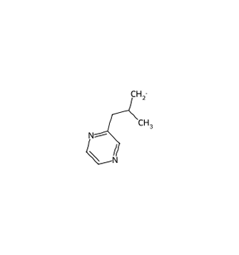 [CH2]C(C)Cc1cnccn1